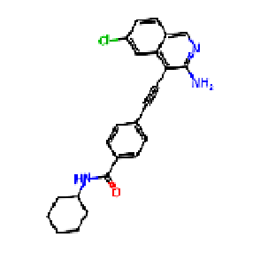 Nc1ncc2ccc(Cl)cc2c1C#Cc1ccc(C(=O)NC2CCCCC2)cc1